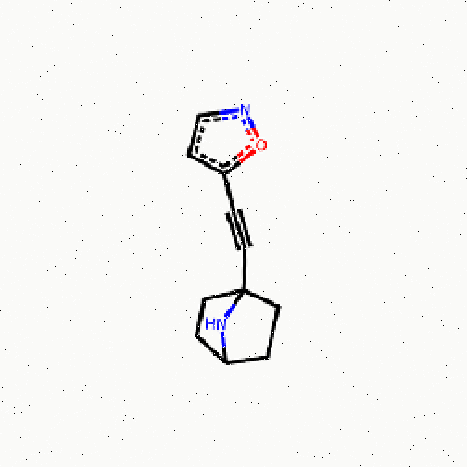 C(#CC12CCC(CC1)N2)c1ccno1